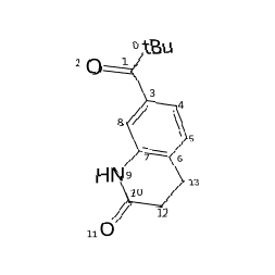 CC(C)(C)C(=O)c1ccc2c(c1)NC(=O)CC2